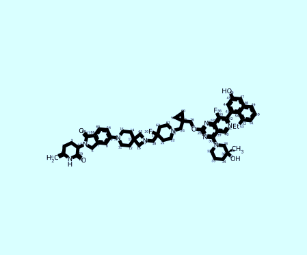 C=C1CCC(N2Cc3cc(N4CCC5(CC4)CN(CC4(F)CCN(CC6(COc7nc(N8CCC[C@@](C)(O)C8)c8cnc(-c9cc(O)cc%10cccc(CC)c9%10)c(F)c8n7)CC6)CC4)C5)ccc3C2=O)C(=O)N1